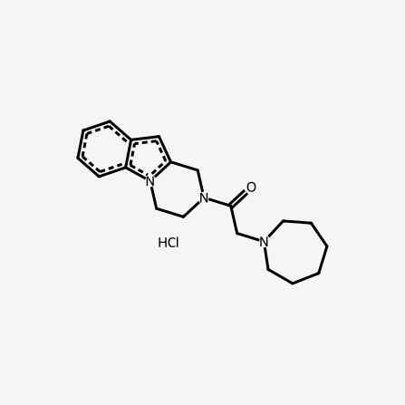 Cl.O=C(CN1CCCCCC1)N1CCn2c(cc3ccccc32)C1